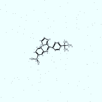 CC(C)(C)c1ccc(-c2nc3cc([N+](=O)[O-])ccc3n3ccnc23)cc1